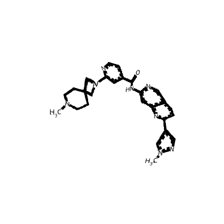 CN1CCC2(CC1)CN(c1cc(C(=O)Nc3cc4nc(-c5cnn(C)c5)ccc4cn3)ccn1)C2